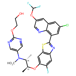 C[C@H](Oc1cc2sc(-c3cc(Cl)cc4cc(OC(F)F)cnc34)nc2cc1F)[C@@H](C)N(C(=O)O)c1cnc(OCCO)nc1